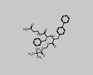 CC(C)(C)C(=O)OCOC(=O)C(Cc1ccc(-c2ccccc2)cc1)N[C@@H](Cc1ccccc1)C(=O)NCCC(=O)O